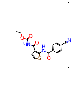 CCOC(=O)NC(=O)c1ccsc1NC(=O)c1ccc(C#N)cc1